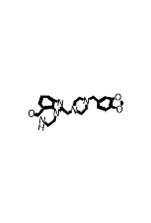 O=C1NCCn2c(CN3CCN(Cc4ccc5c(c4)OCO5)CC3)nc3cccc1c32